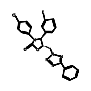 O=C1O[C@@H](Cn2nnc(-c3ccccc3)n2)[C@H](c2cccc(F)c2)N1c1ccc(Cl)cc1